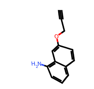 C#CCOc1ccc2cccc(N)c2c1